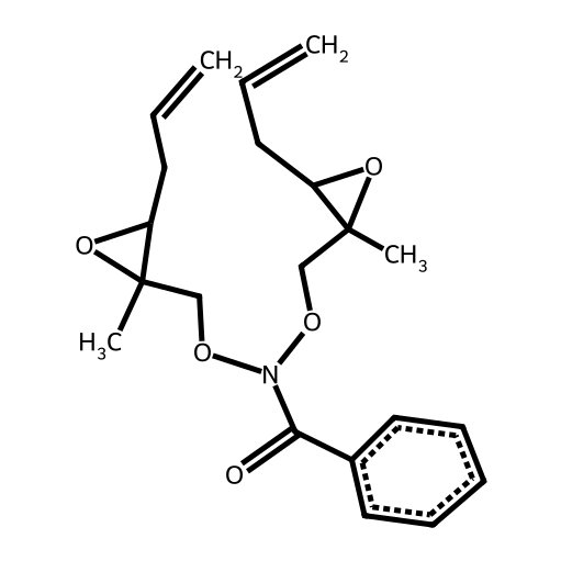 C=CCC1OC1(C)CON(OCC1(C)OC1CC=C)C(=O)c1ccccc1